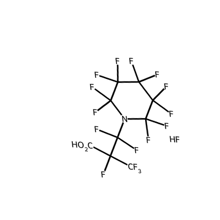 F.O=C(O)C(F)(C(F)(F)F)C(F)(F)N1C(F)(F)C(F)(F)C(F)(F)C(F)(F)C1(F)F